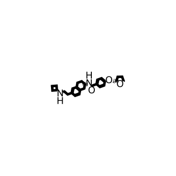 O=C(N[C@H]1CCc2cc(CCNC3CCC3)ccc2C1)c1ccc(OC[C@@H]2CCCO2)cc1